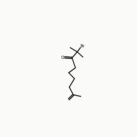 C=C(C)CCCCC(=O)C(C)(C)Br